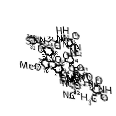 COc1ccc(C(OC[C@H]2OC(n3cnc4c(=O)[nH]c(NC(=O)CCNC(=O)c5ccsc5)nc43)C[C@H]2OP(OCCC#N)OC[C@H]2O[C@@H](n3cc(C)c(=O)[nH]c3=O)C[C@H]2OP(OCCC#N)N(C(C)C)C(C)C)(c2ccccc2)c2ccc(OC)cc2)cc1